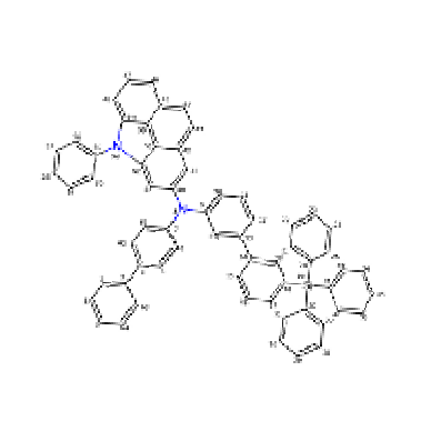 c1ccc(-c2ccc(N(c3cccc(-c4cccc([Si](c5ccccc5)(c5ccccc5)c5ccccc5)c4)c3)c3cc4ccc5cccc6c5c4c(c3)n6-c3ccccc3)cc2)cc1